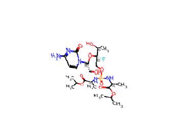 CC(C)OC(=O)[C@H](C)NP(=O)(N[C@@H](C)C(=O)OC(C)C)OC[C@@](F)(O[C@H](CO)n1ccc(N)nc1=O)[C@H](C)O